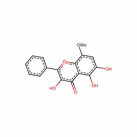 COc1cc(O)c(O)c2c(=O)c(O)c(-c3ccccc3)oc12